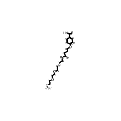 CCCOCCOCCOCCOCCNC(=O)CCCOc1ccc(C(C)=N)cc1